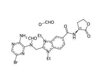 CCn1c(CN(C=O)c2nc(Br)cnc2N)[n+](CC)c2ccc(C(=O)N[C@H]3CCOC3=O)cc21.O=C[O-]